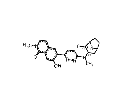 CN(c1ccc(-c2cc3ccn(C)c(=O)c3cc2O)nn1)[C@@H]1CC2CCC(N2)[C@@H]1F